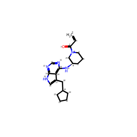 C=CC(=O)N1CCC[C@@H](Nc2ncnc3[nH]cc(CC4CCCC4)c23)C1